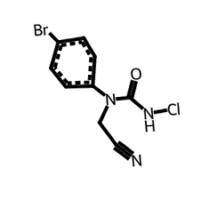 N#CCN(C(=O)NCl)c1ccc(Br)cc1